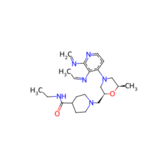 C=Nc1nccc(N2C[C@H](CN3CCC(C(=O)NCC)CC3)O[C@H](C)C2)c1/N=C\C